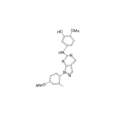 COc1ccc(-n2ncc3cnc(Nc4ccc(OC)c(O)c4)nc32)c(C)c1